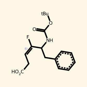 CC(C)(C)OC(=O)NC(Cc1ccccc1)/C(F)=C\CC(=O)O